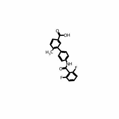 Cc1ccc(C(=O)O)cc1-c1ccc(NC(=O)c2c(F)cccc2F)cc1